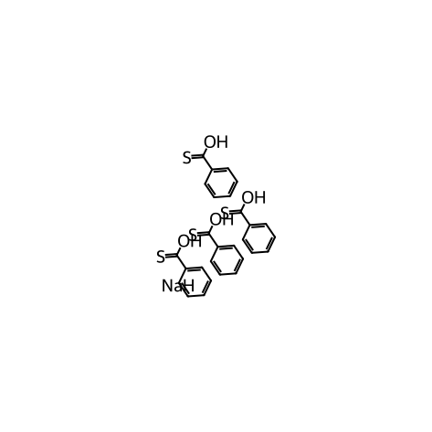 OC(=S)c1ccccc1.OC(=S)c1ccccc1.OC(=S)c1ccccc1.OC(=S)c1ccccc1.[NaH]